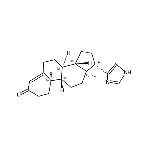 C[C@]12CC[C@H]3[C@@H](CCC4=CC(=O)CC[C@@]43C)[C@@H]1CC[C@@H]2c1c[nH]cn1